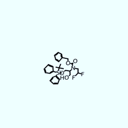 CC(C)(C)[Si](OCC(CO)N(CC(F)F)C(=O)OCc1ccccc1)(c1ccccc1)c1ccccc1